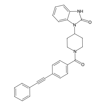 O=C(c1ccc(C#Cc2ccccc2)cc1)N1CCC(n2c(=O)[nH]c3ccccc32)CC1